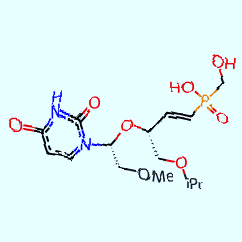 COC[C@@H](O[C@H](/C=C/P(=O)(O)CO)COC(C)C)n1ccc(=O)[nH]c1=O